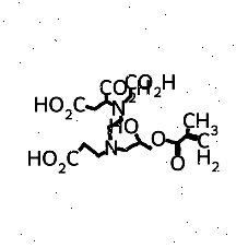 C=C(C)C(=O)OCC(O)CN(CCC(=O)O)CCN(CC(=O)O)C(CC(=O)O)C(=O)O